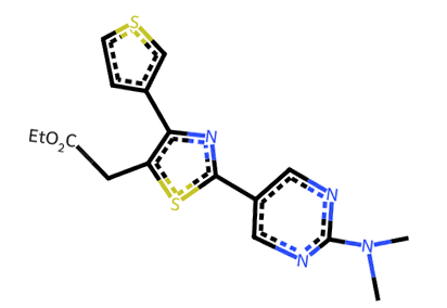 CCOC(=O)Cc1sc(-c2cnc(N(C)C)nc2)nc1-c1ccsc1